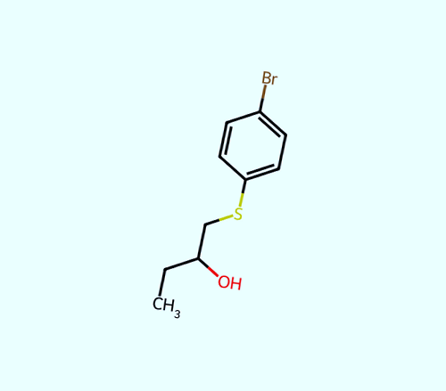 CCC(O)CSc1ccc(Br)cc1